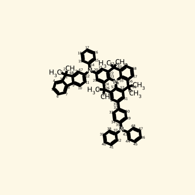 CC1(C)c2ccccc2-c2ccc(N(c3ccccc3)c3cc4c5c(c3)C(C)(C)c3cc(-c6ccc(N(c7ccccc7)c7ccccc7)cc6)cc6c3N5c3c(cccc3C4(C)C)C6(C)C)cc21